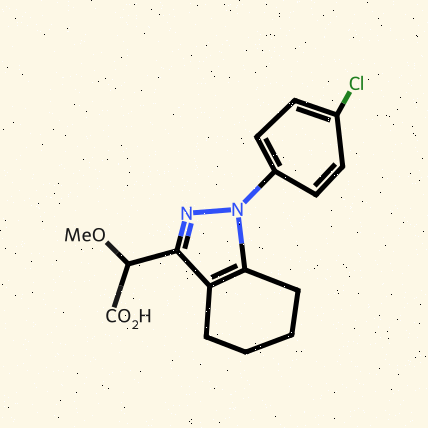 COC(C(=O)O)c1nn(-c2ccc(Cl)cc2)c2c1CCCC2